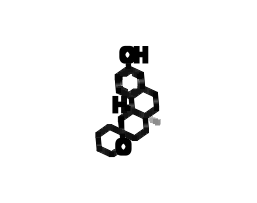 C[C@@]12CCc3cc(O)ccc3[C@H]1C[C@@]1(CCCCO1)CC2